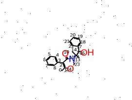 CC1=C(c2ccccc2)C(=O)N(C(C)(C)C(O)c2ccccc2)CO1